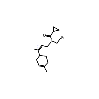 CC1=CCC(/C(C)=C\CN(CC(C)C)C(=O)C2CC2)CC1